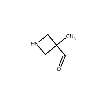 CC1(C=O)CNC1